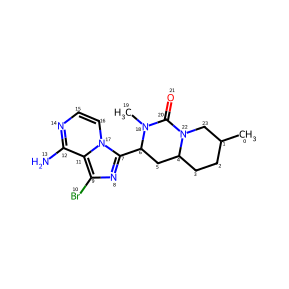 CC1CCC2CC(c3nc(Br)c4c(N)nccn34)N(C)C(=O)N2C1